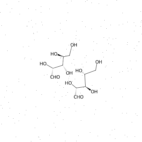 O=C[C@H](O)[C@@H](O)[C@@H](O)CO.O=C[C@H](O)[C@H](O)[C@H](O)CO